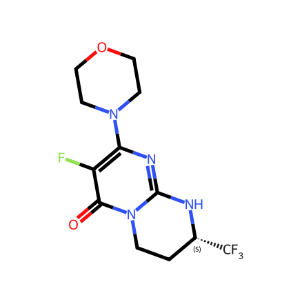 O=c1c(F)c(N2CCOCC2)nc2n1CC[C@@H](C(F)(F)F)N2